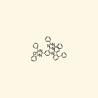 c1ccc(-c2nc(-c3ccccc3)nc(-c3cc(-c4nc(-c5ccccc5)c5oc6ccccc6c5n4)ccc3-n3c4ccccc4c4c(-c5ccccc5)cccc43)n2)cc1